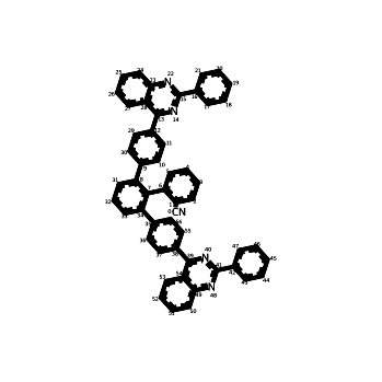 N#Cc1ccccc1-c1c(-c2ccc(-c3nc(-c4ccccc4)nc4ccccc34)cc2)cccc1-c1ccc(-c2nc(-c3ccccc3)nc3ccccc23)cc1